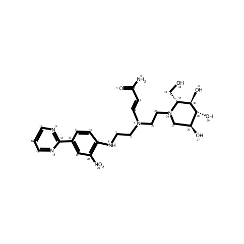 NC(=O)C=CN(CCNc1ccc(-c2ncccn2)cc1[N+](=O)[O-])CCN1C[C@H](O)[C@@H](O)[C@H](O)[C@H]1CO